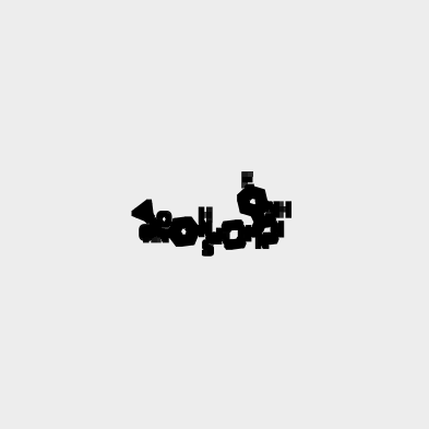 O=S(=O)(Nc1ccc(NC(=S)N2CCN(c3ncnc4[nH]c5cc(F)ccc5c34)CC2)cc1)C1CC1